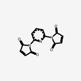 O=C1C=CC(=O)N1c1cccc(N2C(=O)C=CC2=O)n1